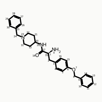 N[C@@H](Cc1ccc(OCc2ccccc2)cc1)C(=O)NC1CCN(Cc2ccccc2)CC1